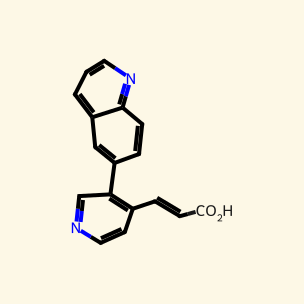 O=C(O)C=Cc1ccncc1-c1ccc2ncccc2c1